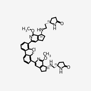 COc1nc(-c2cccc(-c3cccc(-c4cc5c(c(OC)n4)[C@H](NC[C@@H]4CCC(=O)N4)CC5)c3F)c2Cl)cc2c1[C@@H](NCC[C@@H]1CCC(=O)N1)CC2